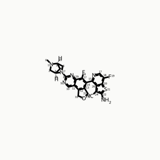 CN1C[C@H]2C[C@@H]1CN2c1ncc2c3c(c(-c4ncc(F)c5sc(N)c(C#N)c45)c(F)c2n1)COC3